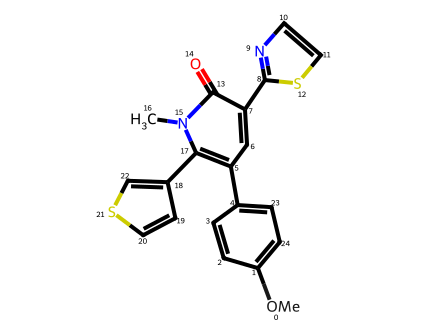 COc1ccc(-c2cc(-c3nccs3)c(=O)n(C)c2-c2ccsc2)cc1